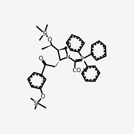 C[C@@H](O[Si](C)(C)C)[C@H]1C(=O)N(C(C(=O)O)=P(c2ccccc2)(c2ccccc2)c2ccccc2)[C@@H]1CC(=O)c1cccc(O[Si](C)(C)C)c1